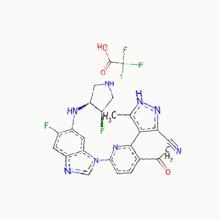 CC(=O)c1ccc(-n2cnc3cc(F)c(N[C@H]4CNC[C@H]4F)cc32)nc1-c1c(C#N)n[nH]c1C.O=C(O)C(F)(F)F